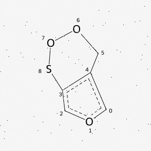 c1occ2c1COOS2